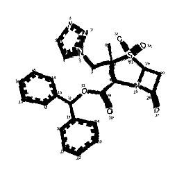 C[C@]1(Cn2ccnn2)[C@H](C(=O)OC(c2ccccc2)c2ccccc2)N2C(=O)CC2S1(=O)=O